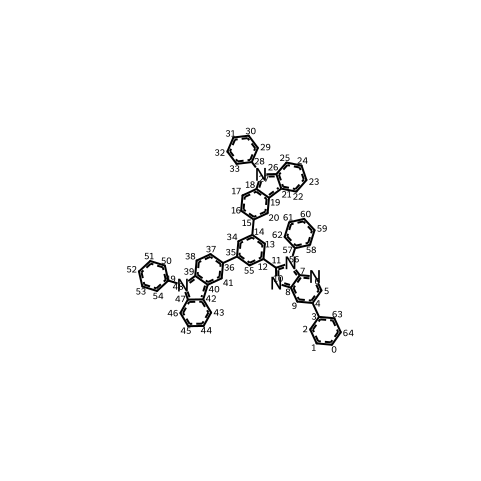 c1ccc(-c2cnc3c(c2)nc(-c2cc(-c4ccc5c(c4)c4ccccc4n5-c4ccccc4)cc(-c4ccc5c(c4)c4ccccc4n5-c4ccccc4)c2)n3-c2ccccc2)cc1